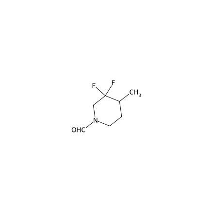 CC1CCN(C=O)CC1(F)F